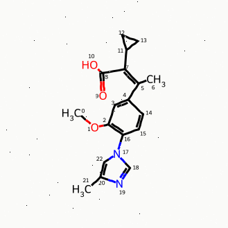 COc1cc(C(C)=C(C(=O)O)C2CC2)ccc1-n1cnc(C)c1